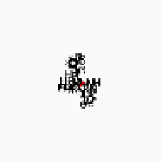 N=C1NC2C(CN3C(=O)CCC3=O)NC(=N)N3CC(NC(=O)c4cccc5c4OCO5)C(O)(O)[C@@]23N1